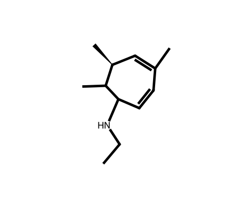 CCNC1C=CC(C)=C[C@H](C)C1C